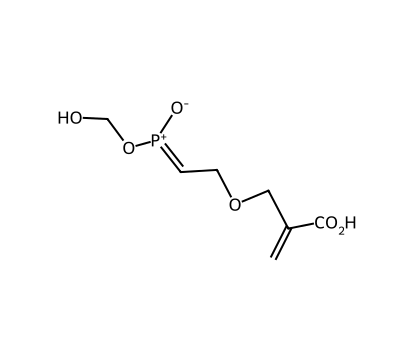 C=C(COC/C=[P+](\[O-])OCO)C(=O)O